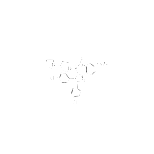 COc1ccc(C2=N[C@@H](c3ccc(Cl)cc3)[C@@H](c3ccc(Cl)cc3)N2C(=O)N2CCC(N3CCCC3)CC2)c(OC(C)C)c1